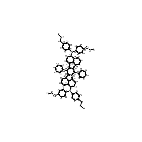 CCCc1ccc(N(c2ccc(OCC)cc2)c2ccc3c4c(-c5ccccc5)c5c6cccc7c(N(c8ccc(CCC)cc8)c8ccc(OCC)cc8)ccc(c5c(-c5ccccc5)c4c4cccc2c43)c76)cc1